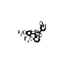 Cn1ccc(C(=O)N[C@@H](c2ccc(C(F)(F)F)cc2)c2ncccc2C(F)(F)F)cc1=O